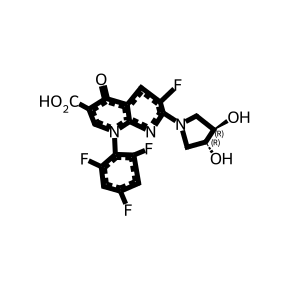 O=C(O)c1cn(-c2c(F)cc(F)cc2F)c2nc(N3C[C@@H](O)[C@H](O)C3)c(F)cc2c1=O